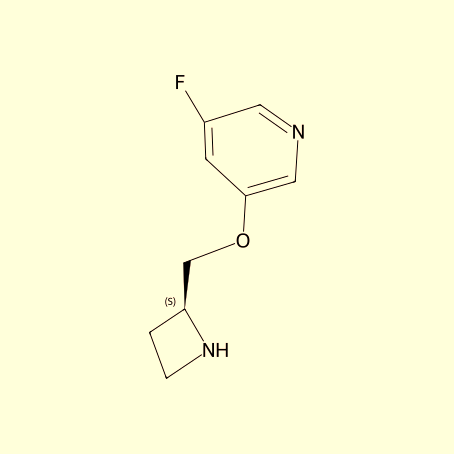 Fc1cncc(OC[C@@H]2CCN2)c1